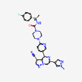 C[C@@H](NC(=O)N1CCN(c2ccc(-c3nc(-c4cnn(C)c4)cn4ncc(C#N)c34)cn2)CC1)c1ccc(F)cc1